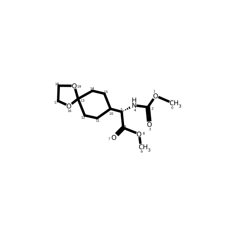 COC(=O)N[C@H](C(=O)OC)C1CCC2(CC1)OCCO2